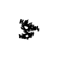 C1CNCCN1.CC1(C)CC(N)CC(C)(CN)C1